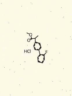 COC(=O)C(C)c1ccc(-c2ccccc2F)cc1.Cl